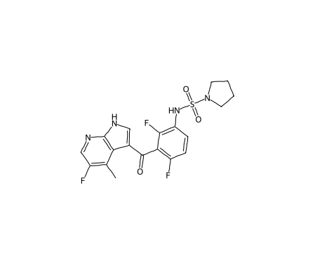 Cc1c(F)cnc2[nH]cc(C(=O)c3c(F)ccc(NS(=O)(=O)N4CCCC4)c3F)c12